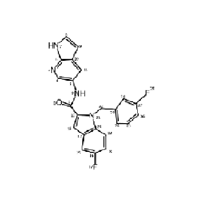 O=C(Nc1cnc2[nH]ccc2c1)c1cc2cc(F)ccc2n1Cc1cccc(F)c1